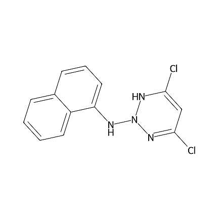 ClC1=CC(Cl)=NN(Nc2cccc3ccccc23)N1